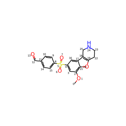 COc1cc(S(=O)(=O)c2ccc(C=O)cc2)cc2c3c(oc12)CCNC3